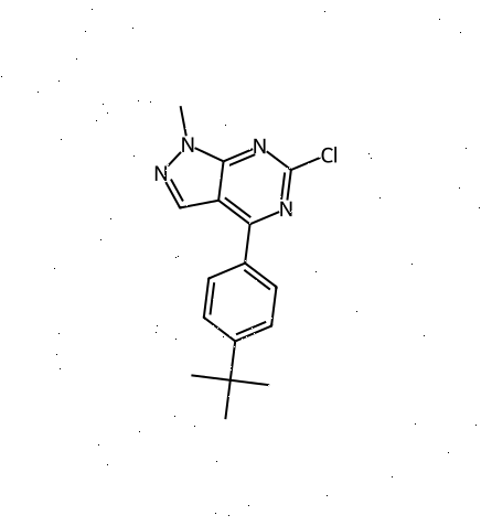 Cn1ncc2c(-c3ccc(C(C)(C)C)cc3)nc(Cl)nc21